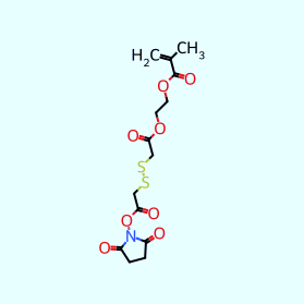 C=C(C)C(=O)OCCOC(=O)CSSCC(=O)ON1C(=O)CCC1=O